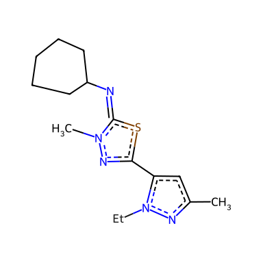 CCn1nc(C)cc1-c1nn(C)c(=NC2CCCCC2)s1